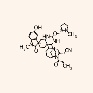 C=CC(=O)N1CCN(C2NC(OC[C@@H]3CCCN3C)NC3C[C@@]4(CCC32C2CCCCCC2)C(=O)N(C)c2ccc(O)cc24)C[C@@H]1CC#N